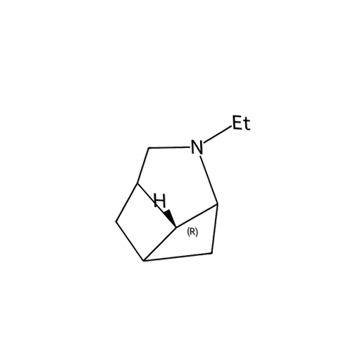 CCN1CC2CC3CC1[C@H]32